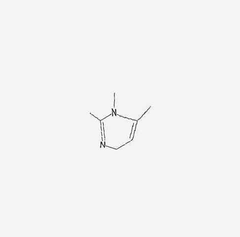 CC1=CCN=C(C)N1C